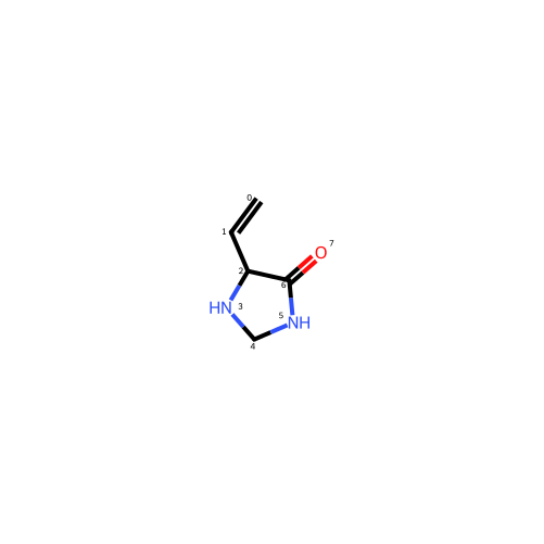 C=CC1NCNC1=O